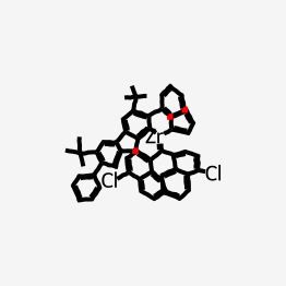 CC(C)(C)c1cc2c(cc1-c1ccccc1)Cc1c-2cc(C(C)(C)C)c(-c2ccccc2)[c]1[Zr]([C]1=CC=CC1)=[C](c1ccc(Cl)c2ccccc12)c1ccc(Cl)c2ccccc12